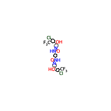 O=C(Nc1ccc(NC(=O)N2CCC(O)(c3ccc(Cl)c(C(F)(F)F)c3)CC2)cc1)N1CCC(O)(c2ccc(Cl)c(C(F)(F)F)c2)CC1